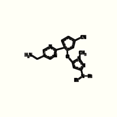 CCN(CC)c1cc(Oc2cc(C#N)ccc2-c2ncc(CN)cn2)n(C)n1